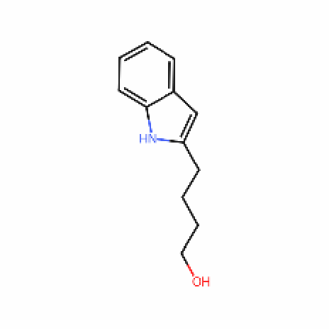 OCCCCc1cc2ccccc2[nH]1